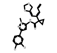 C=C/C=C(\C=C1/COCO1)C1(C(=O)Nc2cc(-c3ccc(Cl)c(Cl)c3)nn2C)CC1